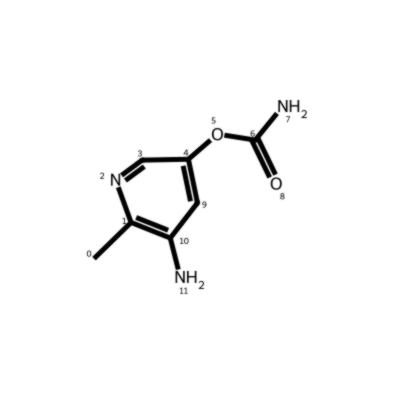 Cc1ncc(OC(N)=O)cc1N